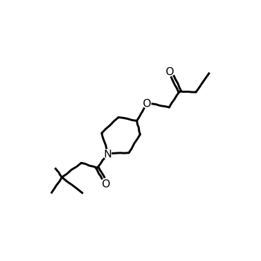 CCC(=O)COC1CCN(C(=O)CC(C)(C)C)CC1